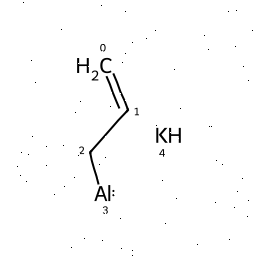 C=C[CH2][Al].[KH]